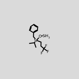 CC(C)[Si](CCC(F)(F)F)(Cc1ccccc1)O[SiH3]